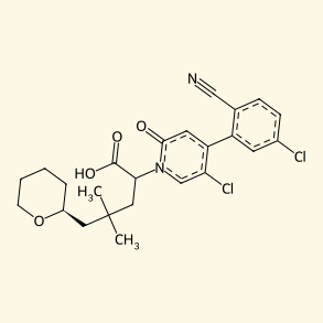 CC(C)(CC(C(=O)O)n1cc(Cl)c(-c2cc(Cl)ccc2C#N)cc1=O)C[C@@H]1CCCCO1